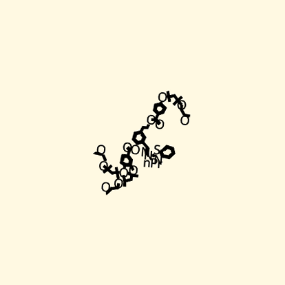 CCCN(/N=C/c1cc(CCOC(=O)c2ccc(OC(C)(C)CC(C)(C)OCC3CO3)cc2)ccc1OC(=O)c1ccc(OC(C)(C)CC(C)(C)OCC2CO2)c(OC(C)(C)CC(C)(C)OCC2CO2)c1)c1nc2ccccc2s1